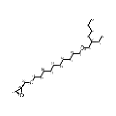 CCCCC(CC)COCCCCCCCCCCOCC1CO1